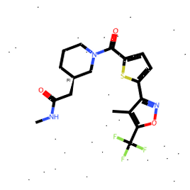 CNC(=O)C[C@H]1CCCN(C(=O)c2ccc(-c3noc(C(F)(F)F)c3C)s2)C1